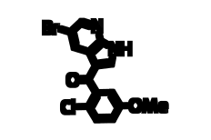 COc1ccc(Cl)c(C(=O)c2c[nH]c3ncc(Br)cc23)c1